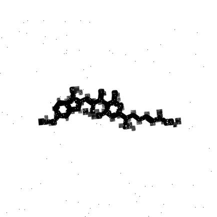 CCC(C)Oc1ccc2c(c1)cc(/C=C(\C)C(=O)c1c(O)cc(C(C)CC/C=C/NC(=O)O)oc1=O)n2C